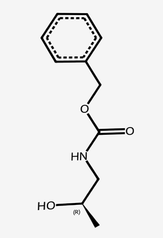 C[C@@H](O)CNC(=O)OCc1ccccc1